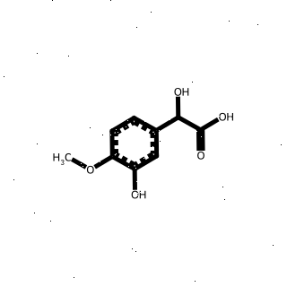 COc1ccc(C(O)C(=O)O)cc1O